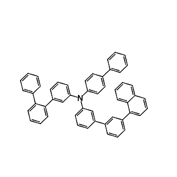 c1ccc(-c2ccc(N(c3cccc(-c4cccc(-c5cccc6ccccc56)c4)c3)c3cccc(-c4ccccc4-c4ccccc4)c3)cc2)cc1